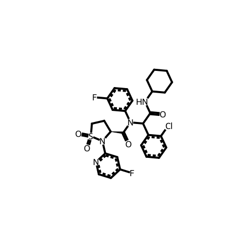 O=C(NC1CCCCC1)C(c1ccccc1Cl)N(C(=O)[C@@H]1CCS(=O)(=O)N1c1cc(F)ccn1)c1cccc(F)c1